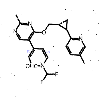 C/C=C(\C=C/N(C=O)C(F)F)c1cnc(C)nc1OCC1CC1c1ccc(C)cn1